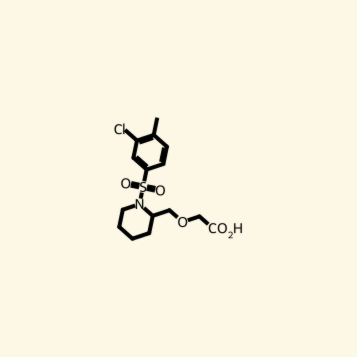 Cc1ccc(S(=O)(=O)N2CCCCC2COCC(=O)O)cc1Cl